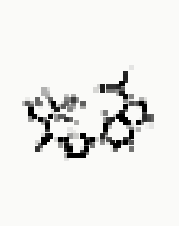 CCN(C(=O)c1ccc(-c2cnc3[nH]cc(C(=O)O)c3n2)s1)S(N)(=O)=O